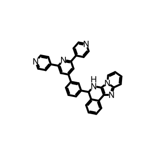 c1cc(-c2cc(-c3ccncc3)nc(-c3ccncc3)c2)cc(C2Nc3c(nc4ccccn34)-c3ccccc32)c1